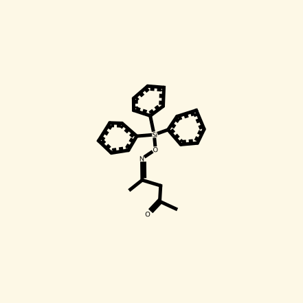 CC(=O)CC(C)=NO[Si](c1ccccc1)(c1ccccc1)c1ccccc1